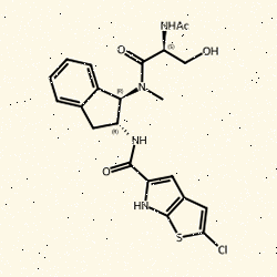 CC(=O)N[C@@H](CO)C(=O)N(C)[C@@H]1c2ccccc2C[C@H]1NC(=O)c1cc2cc(Cl)sc2[nH]1